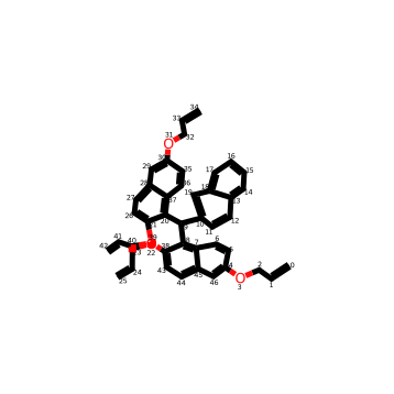 C=CCOc1ccc2c(C(c3ccc4ccccc4c3)c3c(OCC=C)ccc4cc(OCC=C)ccc34)c(OCC=C)ccc2c1